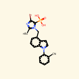 CCCCc1nc(Br)c(P(=O)(O)O)n1Cc1cccc2c1ccn2-c1ccccc1C#N